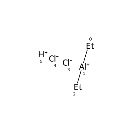 C[CH2][Al+][CH2]C.[Cl-].[Cl-].[H+]